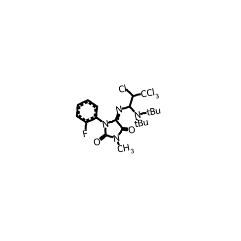 CN1C(=O)C(=NC(C(Cl)C(Cl)(Cl)Cl)N(C(C)(C)C)C(C)(C)C)N(c2ccccc2F)C1=O